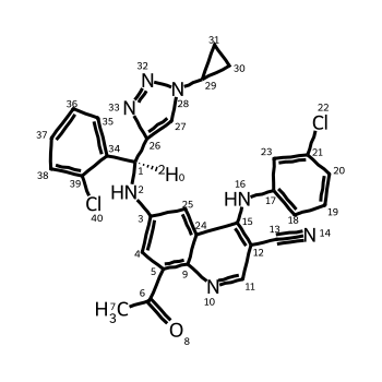 [2H][C@@](Nc1cc(C(C)=O)c2ncc(C#N)c(Nc3cccc(Cl)c3)c2c1)(c1cn(C2CC2)nn1)c1ccccc1Cl